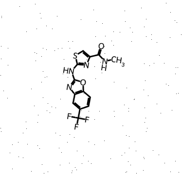 CNC(=O)c1csc(Nc2nc3cc(C(F)(F)F)ccc3o2)n1